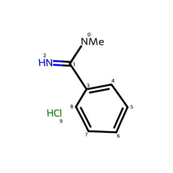 CNC(=N)c1ccccc1.Cl